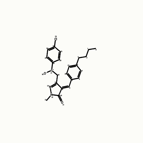 CCCCc1ccc(/C=C2/C(=O)N(C)N=C2C[S+]([O-])c2ccc(Cl)cc2)cc1